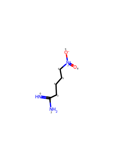 N=C(N)CCCC[N+](=O)[O-]